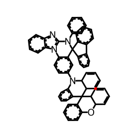 C1=CC2Oc3ccccc3C3(c4ccccc4N(c4ccc5c(c4)C4(c6ccccc6-c6ccccc64)N(c4ccccc4)c4nc6ccccc6n4-5)C4C=CC=CC43)C2C=C1